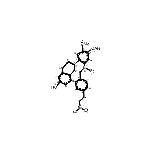 CCN(CC)CCc1ccc(CN(CC)c2cc(OC)c(OC)cc2[C@@H]2CCc3cc(O)ccc3C2)cc1